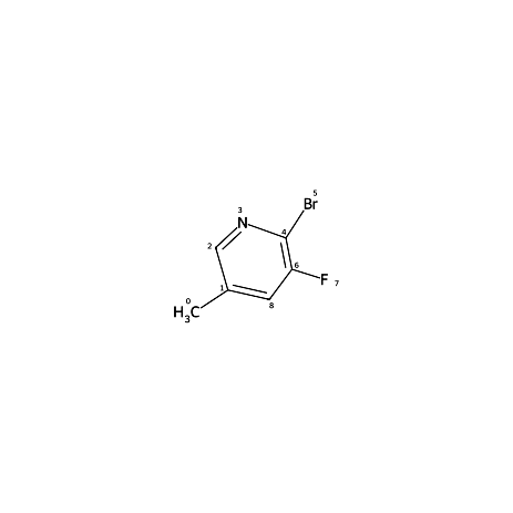 Cc1cnc(Br)c(F)c1